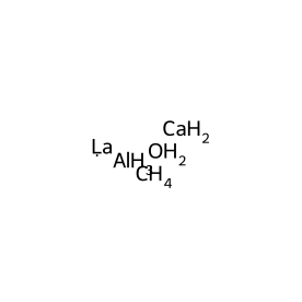 C.O.[AlH3].[CaH2].[La]